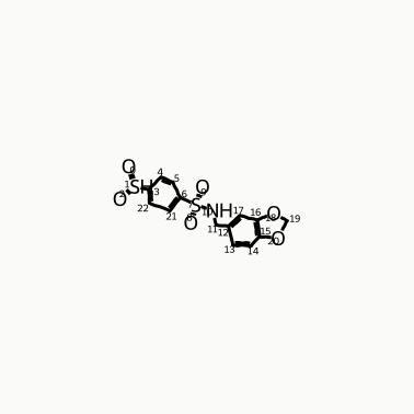 O=[SH](=O)c1ccc(S(=O)(=O)NCc2ccc3c(c2)OCO3)cc1